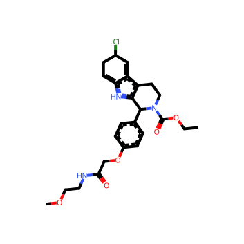 CCOC(=O)N1CCc2c([nH]c3c2=CC(Cl)CC=3)C1c1ccc(OCC(=O)NCCOC)cc1